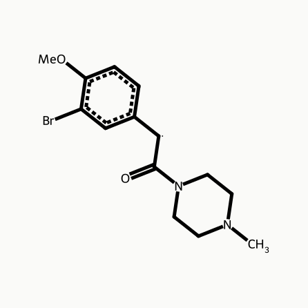 COc1ccc([CH]C(=O)N2CCN(C)CC2)cc1Br